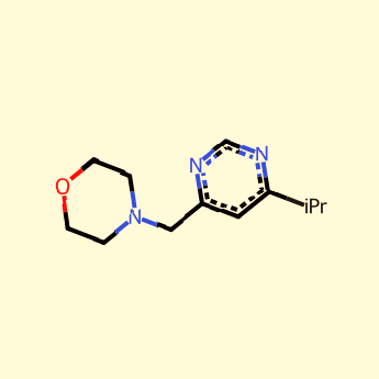 CC(C)c1cc(CN2CCOCC2)ncn1